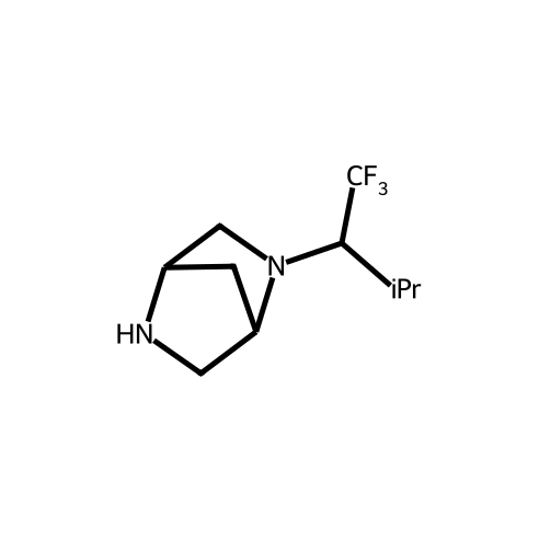 CC(C)C(N1CC2CC1CN2)C(F)(F)F